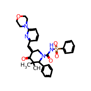 CC1(C)C(=O)/C(=C/c2cccc(N3CCOCC3)n2)CN(C(=O)NS(=O)(=O)c2ccccc2)C1c1ccccc1